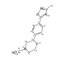 Cc1noc(-c2ccc(C3CN(C(=O)O)CCO3)cc2)n1